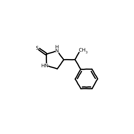 CC(c1ccccc1)C1CNC(=S)N1